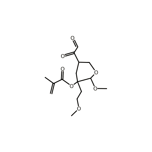 C=C(C)C(=O)OC1(CCOC)CC(C(=O)C=O)COC1OC